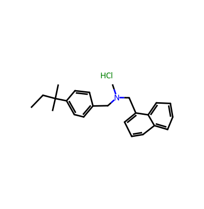 CCC(C)(C)c1ccc(CN(C)Cc2cccc3ccccc23)cc1.Cl